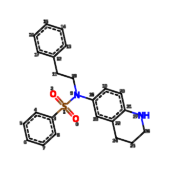 O=S(=O)(c1ccccc1)N(CCc1ccccc1)c1ccc2c(c1)CCCN2